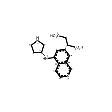 O=C(O)CCC(=O)O.c1cc(N[C@@H]2CCNC2)c2ccncc2c1